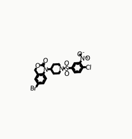 O=C1OCc2cc(Br)ccc2N1C1CCN(S(=O)(=O)c2ccc(Cl)c([N+](=O)[O-])c2)CC1